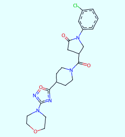 O=C(C1CC(=O)N(c2cccc(Cl)c2)C1)N1CCC(c2nc(N3CCOCC3)no2)CC1